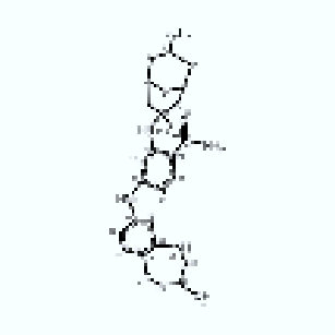 CC1CC2CC(C1)CC(C)(Nc1nc(Nc3ccc4c(c3)NCC(O)CO4)ncc1C(N)=O)C2